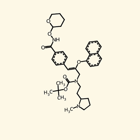 CN1CCCC1CCN(C/C(=C/c1ccc(C(=O)NOC2CCCCO2)cc1)Oc1cccc2ccccc12)C(=O)OC(C)(C)C